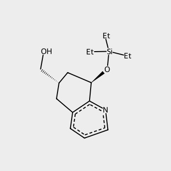 CC[Si](CC)(CC)O[C@@H]1C[C@@H](CO)Cc2cccnc21